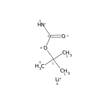 CC(C)(C)OC([NH-])=O.[Li+]